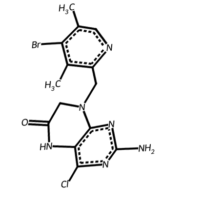 Cc1cnc(CN2CC(=O)Nc3c(Cl)nc(N)nc32)c(C)c1Br